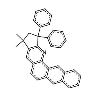 CC1(C)CC(c2ccccc2)(c2ccccc2)c2nc3c(ccc4cc5ccccc5cc43)cc21